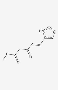 COC(=O)CC(=O)C=Cc1ccc[nH]1